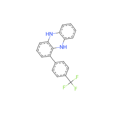 FC(F)(F)c1ccc(-c2cccc3c2Nc2ccccc2N3)cc1